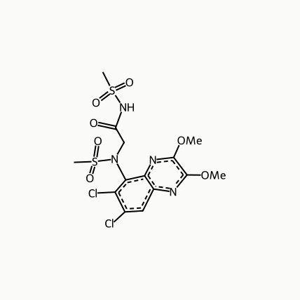 COc1nc2cc(Cl)c(Cl)c(N(CC(=O)NS(C)(=O)=O)S(C)(=O)=O)c2nc1OC